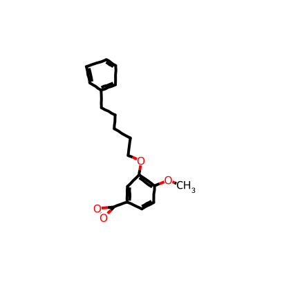 COc1ccc(C2OO2)cc1OCCCCCc1ccccc1